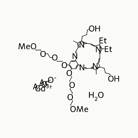 CC(=O)[O-].CC(=O)[O-].CCC1=C(CC)c2cc3[n-]c(cnc4cc(OCCOCCOCCOC)c(OCCOCCOCCOC)cc4ncc4nc(cc1n2)C(CCCO)=C4C)c(C)c3CCCO.O.[Gd+3]